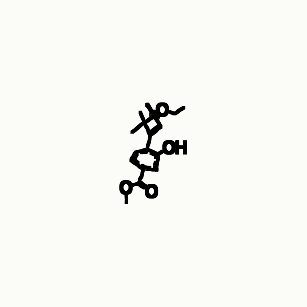 CCO[C@]1(C)C=C(c2ccc(C(=O)OC)cc2O)C1(C)C